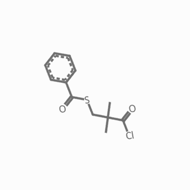 CC(C)(CSC(=O)c1ccccc1)C(=O)Cl